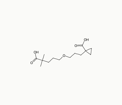 CC(C)(CCCOCCCC1(C(=O)O)CC1)C(=O)O